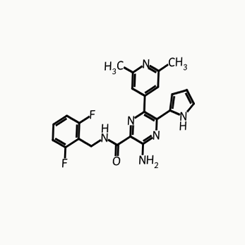 Cc1cc(-c2nc(C(=O)NCc3c(F)cccc3F)c(N)nc2-c2ccc[nH]2)cc(C)n1